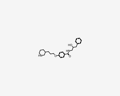 O=C(NCC(O)Cc1ccccc1)c1ccc(OCCCC2CCCNC2)cc1